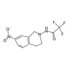 O=C(NN1CCc2ccc([N+](=O)[O-])cc2C1)C(F)(F)F